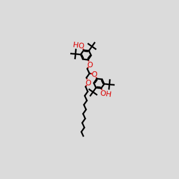 CCCCCCCCCCCCOCC(COc1cc(C(C)(C)C)c(O)c(C(C)(C)C)c1)Oc1cc(C(C)(C)C)c(O)c(C(C)(C)C)c1